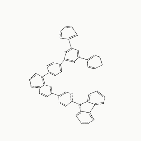 C1=CC(c2cc(-c3ccccc3)nc(-c3ccc(-c4cccc5ccc(-c6ccc(-n7c8ccccc8c8ccccc87)cc6)cc45)cc3)n2)=CCC1